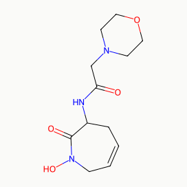 O=C(CN1CCOCC1)NC1CC=CCN(O)C1=O